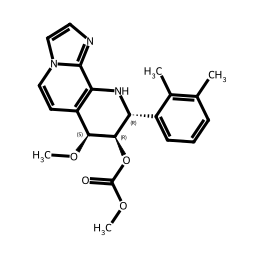 COC(=O)O[C@@H]1[C@@H](c2cccc(C)c2C)Nc2c(ccn3ccnc23)[C@@H]1OC